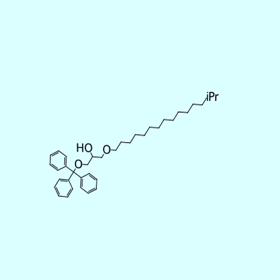 CC(C)CCCCCCCCCCCCCOCC(O)COC(c1ccccc1)(c1ccccc1)c1ccccc1